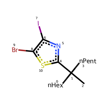 CCCCCCC(C)(CCCCC)c1nc(I)c(Br)s1